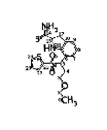 CCOCCC(c1cccc2c1NC(C(N)=S)C2)S(=O)(=O)c1cccs1